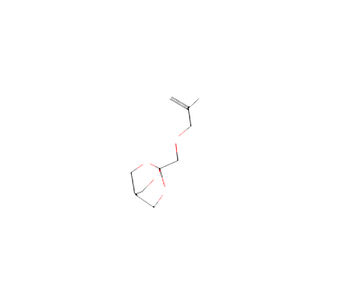 C=C(C)COCC12OCC(CO1)CO2